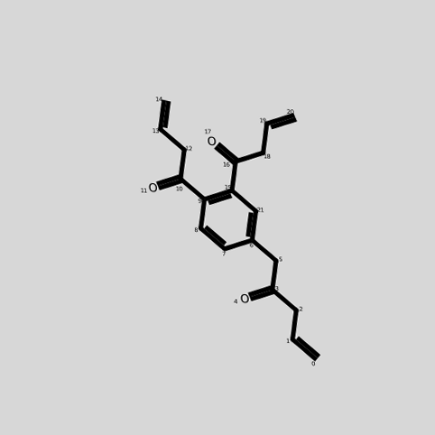 C=CCC(=O)Cc1ccc(C(=O)CC=C)c(C(=O)CC=C)c1